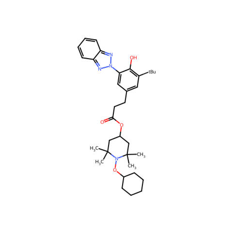 CC(C)(C)c1cc(CCC(=O)OC2CC(C)(C)N(OC3CCCCC3)C(C)(C)C2)cc(-n2nc3ccccc3n2)c1O